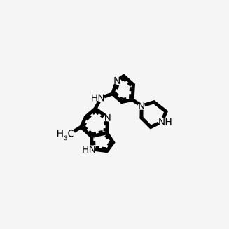 Cc1cc(Nc2cc(N3CCNCC3)ccn2)nc2cc[nH]c12